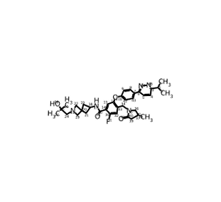 CC(C)c1ccc(-c2ccc(Oc3cc(C(=O)NC4CC5(C4)CN(CC(C)(C)O)C5)c(F)cc3CN3C[C@@H](C)CC3=O)cc2)nn1